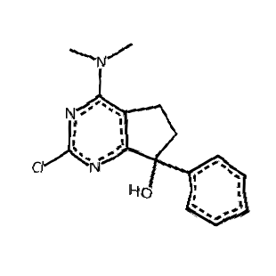 CN(C)c1nc(Cl)nc2c1CCC2(O)c1ccccc1